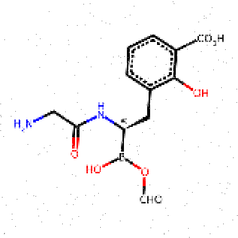 NCC(=O)N[C@@H](Cc1cccc(C(=O)O)c1O)B(O)OC=O